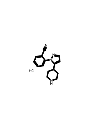 Cl.N#Cc1ccccc1-n1nccc1C1CCNCC1